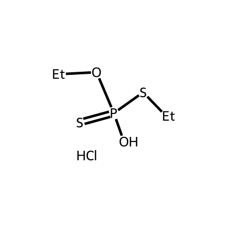 CCOP(O)(=S)SCC.Cl